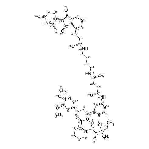 CCC(C)(C)C(=O)C(=O)N1CCCC[C@H]1C(=O)O[C@H](CCc1ccc(OC)c(OC)c1)c1cccc(NC(=O)CCC(=O)NCCCCNC(=O)COc2cccc3c2C(=O)N([C@H]2CCC(=O)NC2=O)C3=O)c1